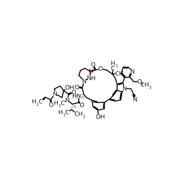 C=CC(=O)N1CCC(O)(C(=O)N(C)[C@H](C(=O)N[C@H]2Cc3cc(O)cc(c3)-c3ccc4c(c3)c(c(-c3cccnc3COC)n4CC#N)CC(C)(C)COC(=O)[C@@H]3CCCN(N3)C2=O)C(C)C)C1